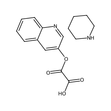 C1CCNCC1.O=C(O)C(=O)Oc1cnc2ccccc2c1